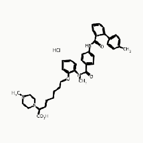 Cc1ccc(-c2ccccc2C(=O)Nc2ccc(C(=O)N(C)c3ccccc3OCCCCCCC(C(=O)O)N3CCN(C)CC3)cc2)cc1.Cl